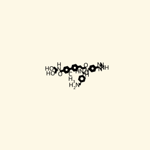 Cc1cc(C(=O)NC(CO)CO)ccc1-c1ccc(CC(NC(=O)[C@H]2CC[C@H](CN)CC2)C(=O)Nc2ccc(-c3nn[nH]n3)cc2)cc1